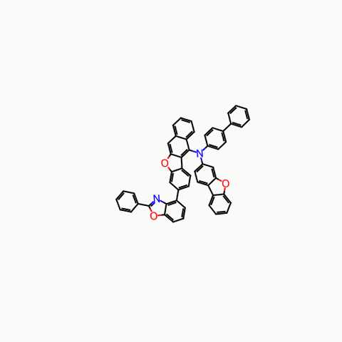 c1ccc(-c2ccc(N(c3ccc4c(c3)oc3ccccc34)c3c4ccccc4cc4oc5cc(-c6cccc7oc(-c8ccccc8)nc67)ccc5c34)cc2)cc1